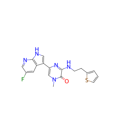 Cn1cc(-c2c[nH]c3ncc(F)cc23)nc(NCCc2cccs2)c1=O